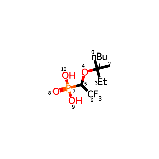 CCCCC(C)(CC)OC(C(F)(F)F)P(=O)(O)O